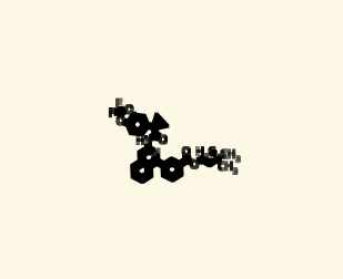 C[N+](C)(C)CCOC(=O)c1cccc(-c2nc(NC(=O)C3(c4ccc5c(c4)OC(F)(F)O5)CC3)cc3ccccc23)c1